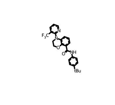 CC(C)(C)c1ccc(NC(=O)c2cccc3c2OCCN3c2ncccc2C(F)(F)F)cc1